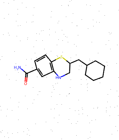 NC(=O)c1ccc2c(c1)NCC(CC1CCCCC1)S2